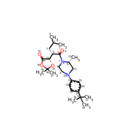 CC(C)C[C@H](C(=O)N1CCN(c2ccc(C(C)(C)C)cc2)C[C@H]1C)[C@@H]1OC(C)(C)OC1=O